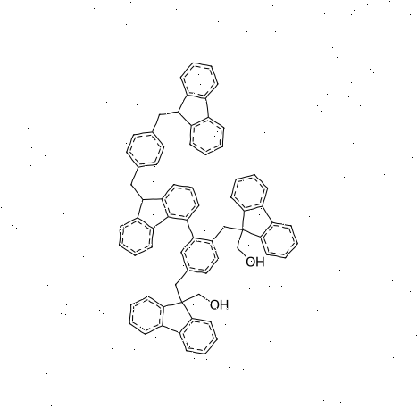 OCC1(Cc2ccc(CC3(CO)c4ccccc4-c4ccccc43)c(-c3cccc4c3-c3ccccc3C4Cc3ccc(CC4c5ccccc5-c5ccccc54)cc3)c2)c2ccccc2-c2ccccc21